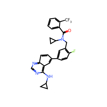 O=C(c1ccccc1C(F)(F)F)N(Cc1cc(-c2ccc3ncnc(NC4CC4)c3c2)ccc1F)C1CC1